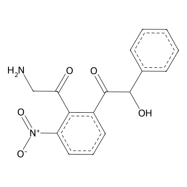 NCC(=O)c1c(C(=O)C(O)c2ccccc2)cccc1[N+](=O)[O-]